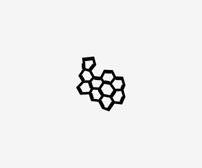 c1ccc2c(c1)cc1ccc3cc4ccc5ccc6ccc7ccc8c2c1c3c1c4c5c6c7c81